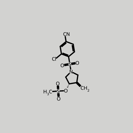 C=C1CN(S(=O)(=O)c2ccc(C#N)cc2Cl)C[C@H]1OS(C)(=O)=O